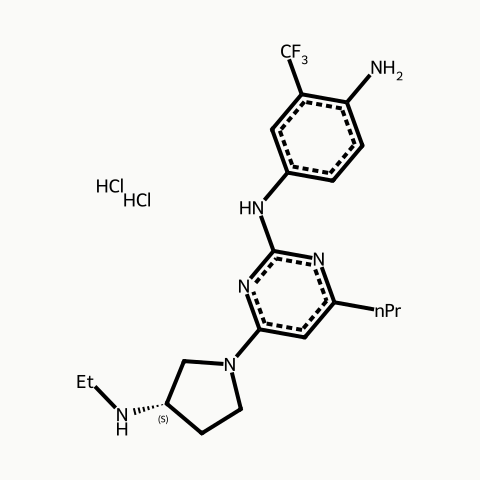 CCCc1cc(N2CC[C@H](NCC)C2)nc(Nc2ccc(N)c(C(F)(F)F)c2)n1.Cl.Cl